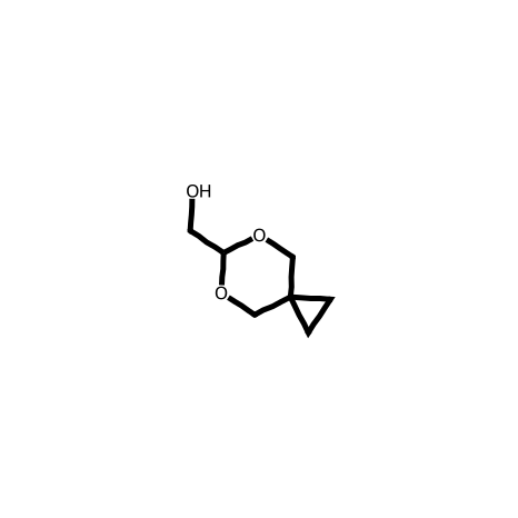 OCC1OCC2(CC2)CO1